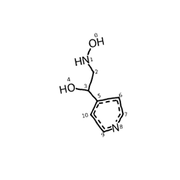 ONCC(O)c1ccncc1